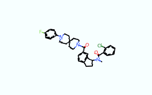 CN(C(=O)c1ccccc1Cl)C1CCc2ccc(C(=O)N3CCC4(CC3)CCN(c3ccc(F)cc3)CC4)cc21